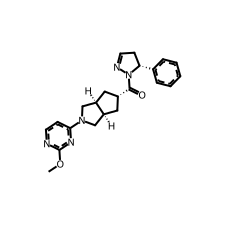 COc1nccc(N2C[C@H]3C[C@H](C(=O)N4N=CC[C@@H]4c4ccccc4)C[C@H]3C2)n1